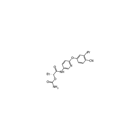 CC[C@@H](OC(N)=O)C(=O)Nc1ccc(Oc2ccc(C#N)c(C(C)C)c2)nc1